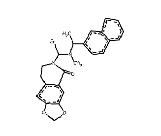 CCC(N1CCc2cc3c(cc2C1=O)OCO3)N(C)C(C)c1ccc2ccccc2c1